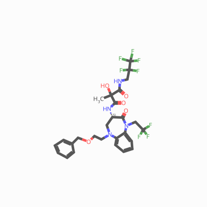 CC(O)(C(=O)NCC(F)(F)C(F)(F)F)C(=O)N[C@H]1CN(CCOCc2ccccc2)c2ccccc2N(CC(F)(F)F)C1=O